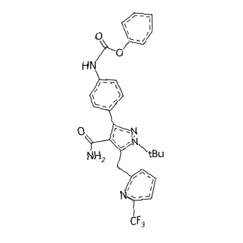 CC(C)(C)n1nc(-c2ccc(NC(=O)Oc3ccccc3)cc2)c(C(N)=O)c1Cc1cccc(C(F)(F)F)n1